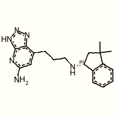 CC1(C)C[C@@H](NCCCc2cc(N)nc3[nH]nnc23)c2ccccc21